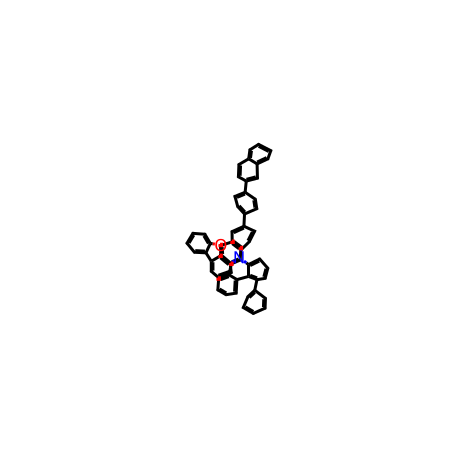 c1ccc(-c2ccccc2-c2c(-c3ccccc3)cccc2N(c2ccc(-c3ccc(-c4ccc5ccccc5c4)cc3)cc2)c2cccc3c2oc2ccccc23)cc1